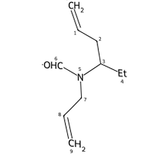 C=CCC(CC)N([C]=O)CC=C